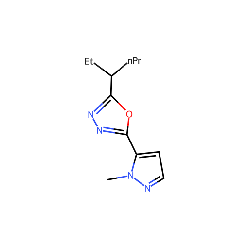 CCCC(CC)c1nnc(-c2ccnn2C)o1